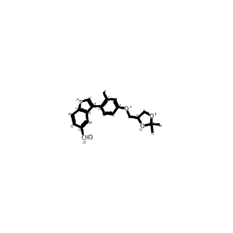 Cc1cc(OCC2COC(C)(C)O2)ccc1-c1csc2ccc(C=O)cc12